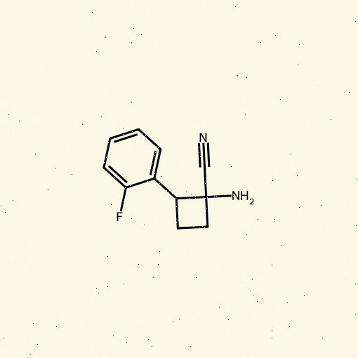 N#CC1(N)CCC1c1ccccc1F